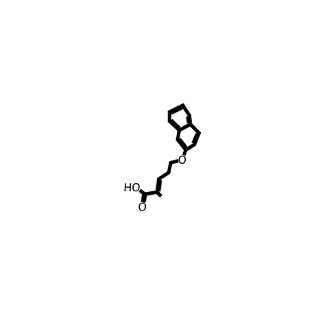 C/C(=C\CCOc1ccc2ccccc2c1)C(=O)O